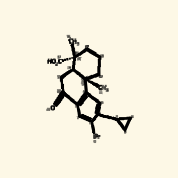 CC(C)c1cc2c(cc1C1CC1)[C@@]1(C)CCC[C@@](C)(C(=O)O)C1CC2=O